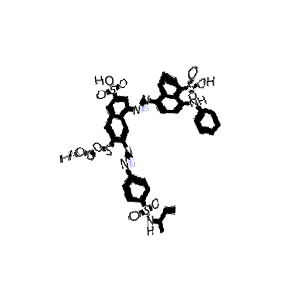 CCC(C)NS(=O)(=O)c1ccc(/N=N/c2cc3c(/N=N/c4ccc(Nc5ccccc5)c5c(S(=O)(=O)O)cccc45)cc(S(=O)(=O)O)cc3cc2SOOO)cc1